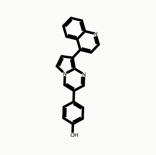 Oc1ccc(-c2cnc3c(-c4ccnc5ccccc45)ccn3c2)cc1